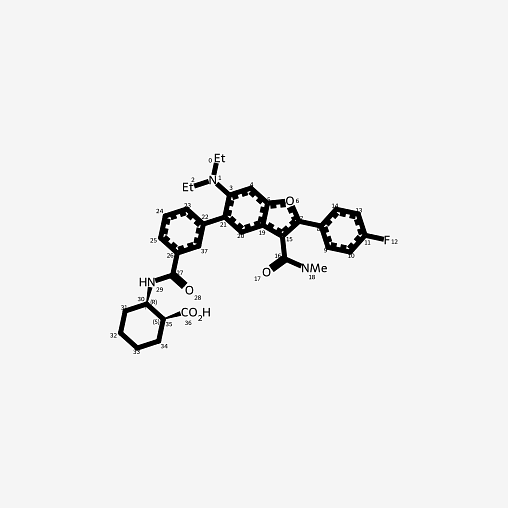 CCN(CC)c1cc2oc(-c3ccc(F)cc3)c(C(=O)NC)c2cc1-c1cccc(C(=O)N[C@@H]2CCCC[C@@H]2C(=O)O)c1